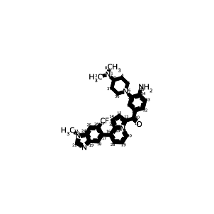 CN(C)C1CCN(c2cc(C(=O)c3ccc4c(-c5cc6ncn(C)c6cc5C(F)(F)F)cccn34)ccc2N)CC1